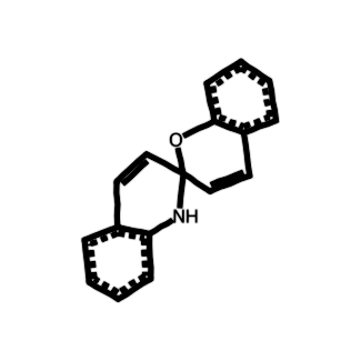 C1=CC2(C=Cc3ccccc3O2)Nc2ccccc21